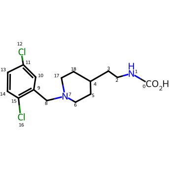 O=C(O)NCCC1CCN(Cc2cc(Cl)ccc2Cl)CC1